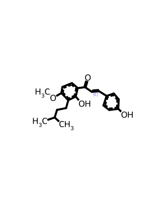 COc1ccc(C(=O)/C=C/c2ccc(O)cc2)c(O)c1CCC(C)C